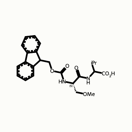 COC[C@H](NC(=O)OCC1c2ccccc2-c2ccccc21)C(=O)NC(C(=O)O)C(C)C